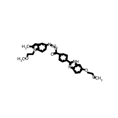 COCCOc1ccc2nc(-c3ccc(C(=O)N=[N+]=Nc4ccc5c(c4)cc(C)n5CCOC)cc3)[nH]c2c1